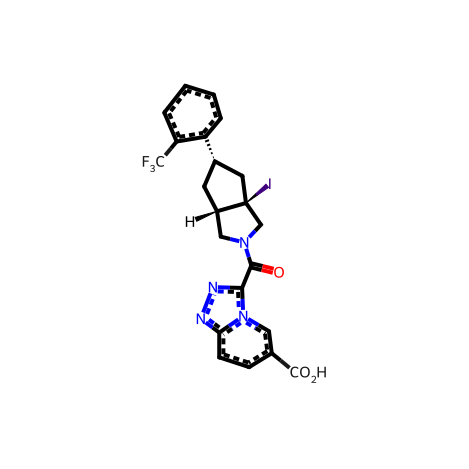 O=C(O)c1ccc2nnc(C(=O)N3C[C@@H]4C[C@H](c5ccccc5C(F)(F)F)C[C@]4(I)C3)n2c1